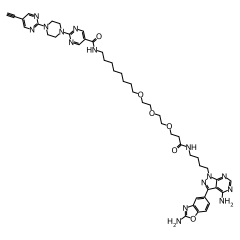 C#Cc1cnc(N2CCN(c3ncc(C(=O)NCCCCCCCCOCCOCCOCCC(=O)NCCCCn4nc(-c5ccc6oc(N)nc6c5)c5c(N)ncnc54)cn3)CC2)nc1